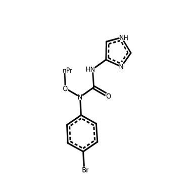 CCCON(C(=O)Nc1c[nH]cn1)c1ccc(Br)cc1